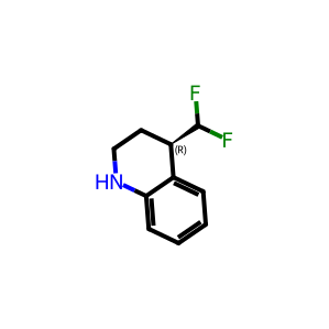 FC(F)[C@@H]1CCNc2ccccc21